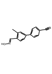 Cc1cc(-c2ccc(C#N)cc2)ccc1C=NO